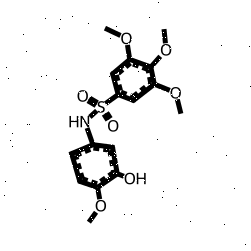 COc1ccc(NS(=O)(=O)c2cc(OC)c(OC)c(OC)c2)cc1O